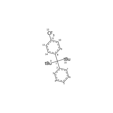 CC(C)(C)C(c1ccccc1)(c1ccc(C(F)(F)F)cc1)C(C)(C)C